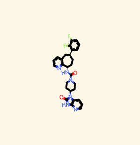 O=C(N[C@H]1CC[C@H](c2cccc(F)c2F)Cc2cccnc21)N1CCC(n2c(=O)[nH]c3ncccc32)CC1